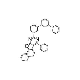 c1ccc(-c2cccc(-c3cccc(-c4nc(-c5ccccc5)c5c(n4)oc4c6ccccc6ccc45)c3)c2)cc1